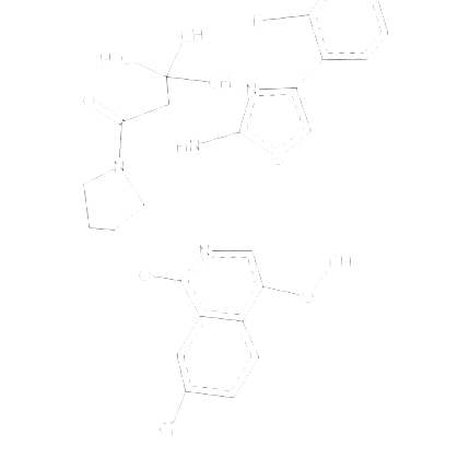 COc1cnc(O[C@@H]2CCN(C(=O)[C@@H](Nc3nc(-c4ccccc4F)cs3)C(C)(C)C)C2)c2cc(Cl)ccc12